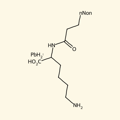 CCCCCCCCCCCC(=O)NC(CCCCN)C(=O)O.[PbH2]